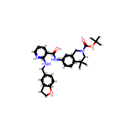 CC(C)(C)OC(=O)N1Cc2cc(NC(=O)c3cccnc3NCc3ccc4c(c3)CCO4)ccc2C(C)(C)C1